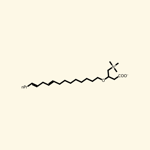 CCCC=CCC=CCCCCCCCCOC(CC(=O)[O-])C[N+](C)(C)C